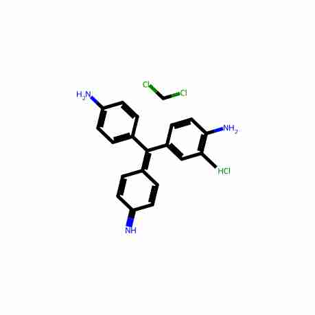 Cc1cc(C(=C2C=CC(=N)C=C2)c2ccc(N)cc2)ccc1N.Cl.ClCCl